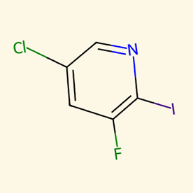 Fc1cc(Cl)cnc1I